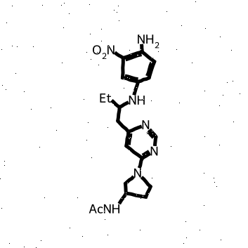 CCC(Cc1cc(N2CCC(NC(C)=O)C2)ncn1)Nc1ccc(N)c([N+](=O)[O-])c1